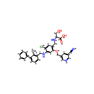 Cc1c(CNc2cc(OCc3cncc(C#N)c3)c(CNC(CO)C(=O)O)cc2Cl)cccc1-c1ccccc1